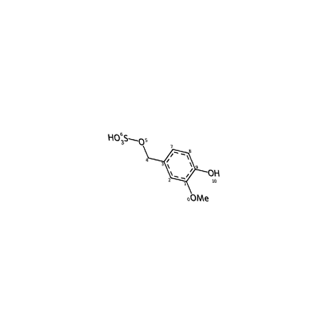 COc1cc(COS(=O)(=O)O)ccc1O